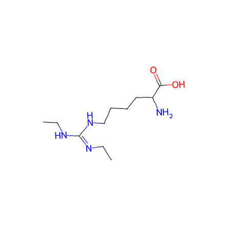 CC/N=C(/NCC)NCCCCC(N)C(=O)O